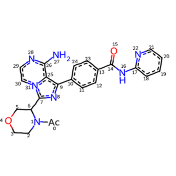 CC(=O)N1CCOCC1c1nc(-c2ccc(C(=O)Nc3ccccn3)cc2)c2c(N)nccn12